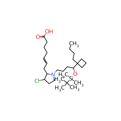 CCCCC1(C(CCCN2CCC(Cl)C2CC=CCCCC(=O)O)O[Si](C)(C)C(C)(C)C)CCC1